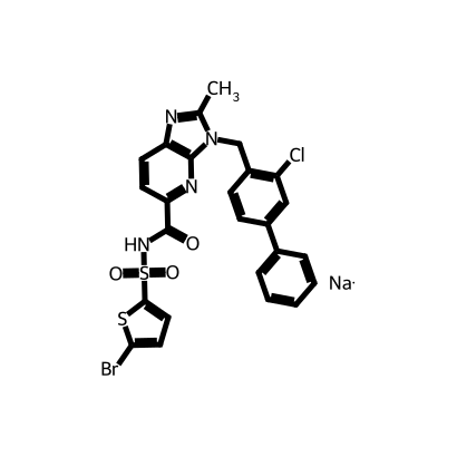 Cc1nc2ccc(C(=O)NS(=O)(=O)c3ccc(Br)s3)nc2n1Cc1ccc(-c2ccccc2)cc1Cl.[Na]